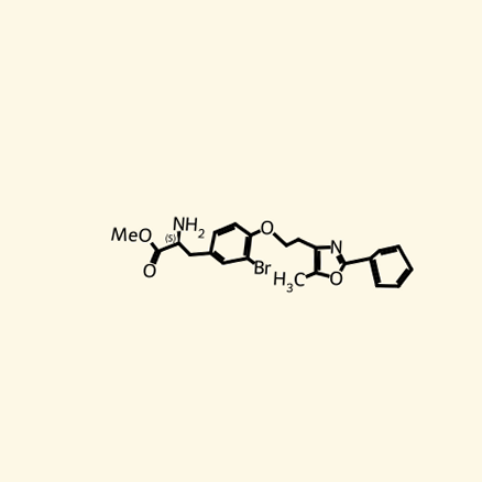 COC(=O)[C@@H](N)Cc1ccc(OCCc2nc(-c3ccccc3)oc2C)c(Br)c1